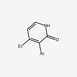 CCc1cc[nH]c(=O)c1C(C)=O